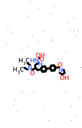 CCCN(CCC)C(=O)C1=Cc2ccc(-c3ccc(C(=O)N4CCC(O)C4)cc3)cc2N=C(NC(=O)O)C1